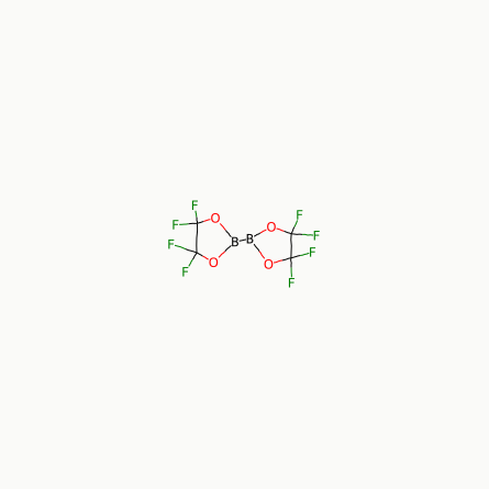 FC1(F)OB(B2OC(F)(F)C(F)(F)O2)OC1(F)F